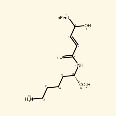 CCCCCC(O)C=CC(=O)N[C@@H](CCCCN)C(=O)O